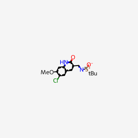 COc1cc2[nH]c(=O)c(C=N[S@+]([O-])C(C)(C)C)cc2cc1Cl